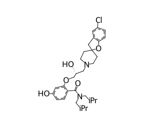 CC(C)CN(CC(C)C)C(=O)c1ccc(O)cc1OC[C@H](O)CN1CCC2(CC1)Cc1cc(Cl)ccc1O2